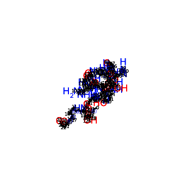 C/C=C/[C@@H]1O[C@H]([C@@H](/C=C/C=C(\C)C[C@@H](C)/C=C(C)\C=C\[C@H]2CC=CC(=O)O2)NC(=O)OCCc2cn(CCC[C@H](NC(=O)[C@H](Cc3ccc(O)cc3)NC(=O)[C@H](CO)NC(=O)[C@H](Cc3c[nH]c4ccccc34)NC(=O)[C@H](Cc3c[nH]cn3)NC(=O)[C@@H]3CCC(=O)N3)C(=O)N[C@@H](CC(C)C)C(=O)N[C@@H](CCCNC(=N)N)C(=O)N3CCC[C@H]3C(=O)NCC(N)=O)nn2)C[C@@H](O)[C@@H]1C